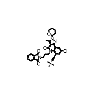 Cc1c2c(=O)n(CCCN3C(=O)c4ccccc4C3=O)c3c(C#C[Si](C)(C)C)cc(Cl)cc3c2nn1C1CCCCO1